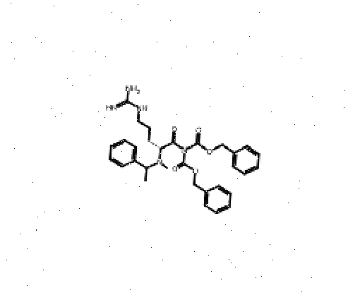 CC(c1ccccc1)N(C)[C@H](CCCNC(=N)N)C(=O)N(C(=O)OCc1ccccc1)C(=O)OCc1ccccc1